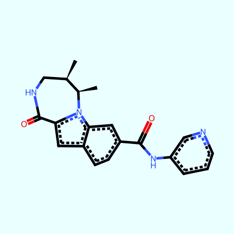 C[C@@H]1CNC(=O)c2cc3ccc(C(=O)Nc4cccnc4)cc3n2[C@@H]1C